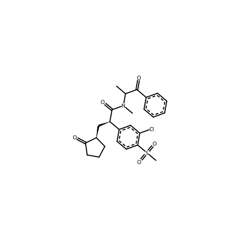 CC(C(=O)c1ccccc1)N(C)C(=O)[C@H](C[C@H]1CCCC1=O)c1ccc(S(C)(=O)=O)c(Cl)c1